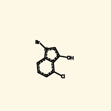 Oc1cn(Br)c2cccc(Cl)c12